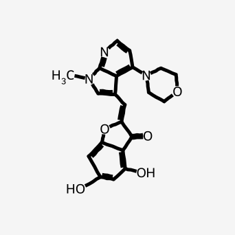 Cn1cc(C=C2Oc3cc(O)cc(O)c3C2=O)c2c(N3CCOCC3)ccnc21